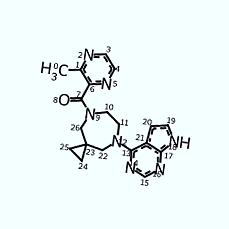 Cc1nccnc1C(=O)N1CCN(c2ncnc3[nH]ccc23)CC2(CC2)C1